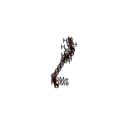 COC[C@@H](C)n1c(C2CCN(C(=O)COCCOCCOCCOCCOCCOCCOCCNC(=O)CCNC(=O)c3nc(NC(=O)CCNC(=O)c4cc(NC(=O)c5nc(C(N)CCNC(=O)c6cc(Nc7nccn7C)cn6C)cn5C)cn4C)cn3C)CC2)nc2cnc3cc(-c4c(C)noc4C)c(OC)cc3c21